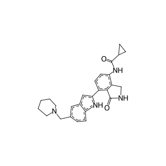 O=C1NCc2c(NC(=O)C3CC3)ccc(-c3cc4cc(CN5CCCCC5)ccc4[nH]3)c21